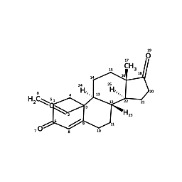 C=C=CC12CCC(=O)C=C1CC[C@@H]1[C@@H]2CC[C@]2(C)C(=O)CC[C@@H]12